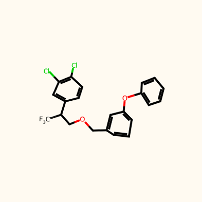 FC(F)(F)C(COCc1cccc(Oc2ccccc2)c1)c1ccc(Cl)c(Cl)c1